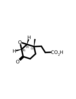 C[C@@]1(CCC(=O)O)CCC(=O)[C@@H]2O[C@@H]21